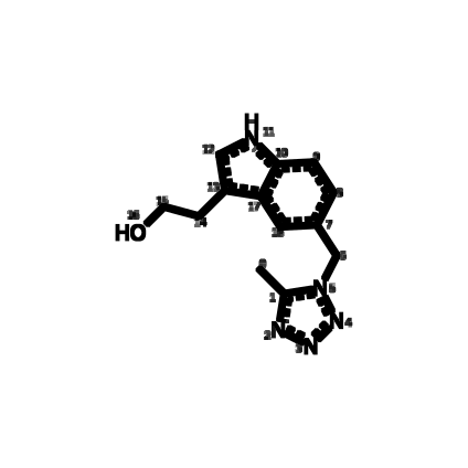 Cc1nnnn1Cc1ccc2[nH]cc(CCO)c2c1